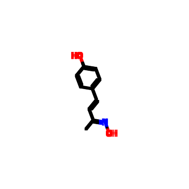 CC(C=Cc1ccc(O)cc1)=NO